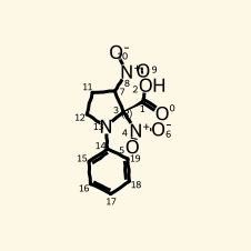 O=C(O)[C@]1([N+](=O)[O-])C([N+](=O)[O-])CCN1c1ccccc1